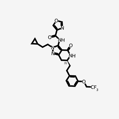 O=C(Nc1c2c(nn1CCC1CC1)C[C@H](CCc1cccc(OCC(F)(F)F)c1)NC2=O)c1cocn1